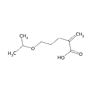 C=C(CCCOC(C)C)C(=O)O